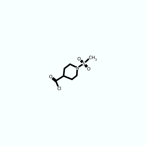 CS(=O)(=O)N1CCC(C(=O)Cl)CC1